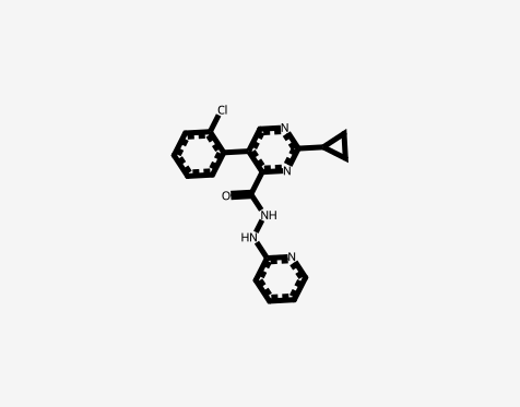 O=C(NNc1ccccn1)c1nc(C2CC2)ncc1-c1ccccc1Cl